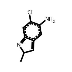 CC1C=c2cc(N)c(Cl)cc2=N1